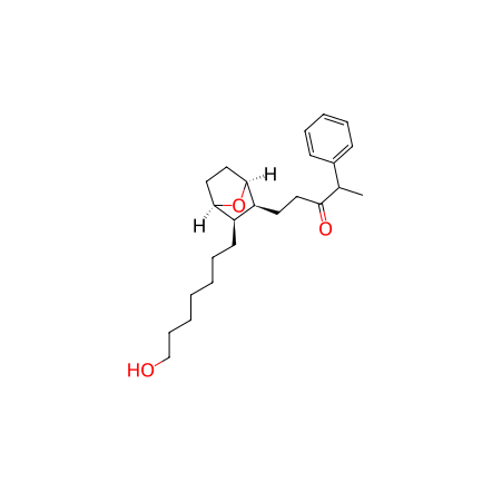 CC(C(=O)CC[C@H]1[C@@H](CCCCCCCO)[C@H]2CC[C@@H]1O2)c1ccccc1